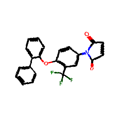 O=C1C=CC(=O)N1c1ccc(Oc2ccccc2-c2ccccc2)c(C(F)(F)F)c1